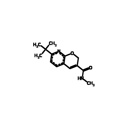 CNC(=O)C1=Cc2ccc(C(C)(C)C)nc2OC1